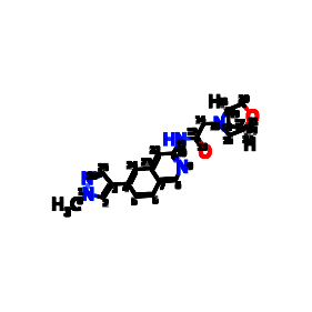 Cn1cc(-c2ccc3cnc(NC(=O)CN4C[C@H]5C[C@@H]4CO5)cc3c2)cn1